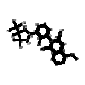 COc1cccn2c(=O)n(-c3cccc(B4OC(C)(C)C(C)(C(I)(I)I)O4)c3C)c(=O)cc12